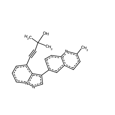 Cc1ccc2cc(-c3cnn4cccc(C#CC(C)(C)O)c34)ccc2n1